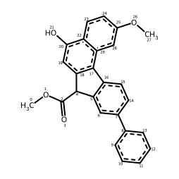 COC(=O)C1c2cc(-c3ccccc3)ccc2-c2c1cc(O)c1ccc(OC)cc21